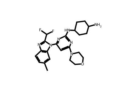 Cc1ccc2nc(C(F)F)n(-c3cc(N4CCOCC4)nc(NC4CCC(N)CC4)n3)c2c1